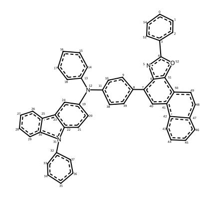 c1ccc(-c2nc3c(-c4ccc(N(c5ccccc5)c5ccc6c(c5)c5ccccc5n6-c5ccccc5)cc4)cc4c5ccccc5ccc4c3o2)cc1